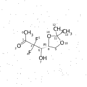 CC(=O)C(F)(F)C(O)[C@H]1COC(C)(C)O1